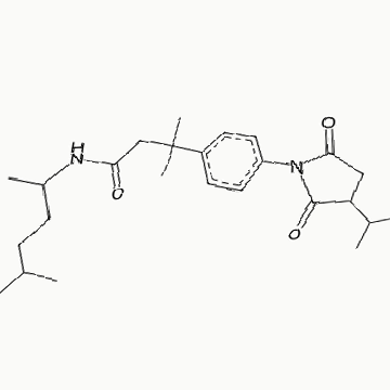 CC(C)CCC(C)NC(=O)CC(C)(C)c1ccc(N2C(=O)CC(C(C)C)C2=O)cc1